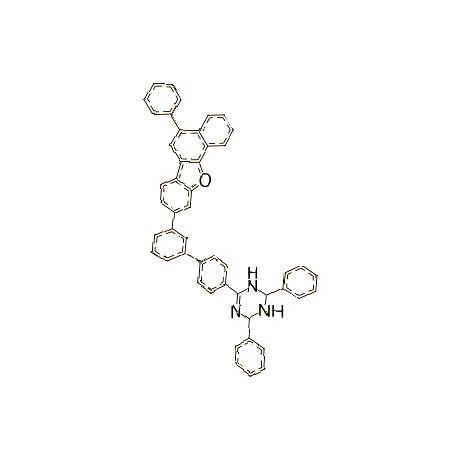 c1ccc(-c2cc3c4ccc(-c5cccc(-c6ccc(C7=NC(c8ccccc8)NC(c8ccccc8)N7)cc6)c5)cc4oc3c3ccccc23)cc1